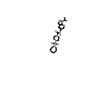 CC(C)n1ncc2cc(NC(=O)N3CCN(S(=O)(=O)N4CCCCCC4)CC3)cnc21